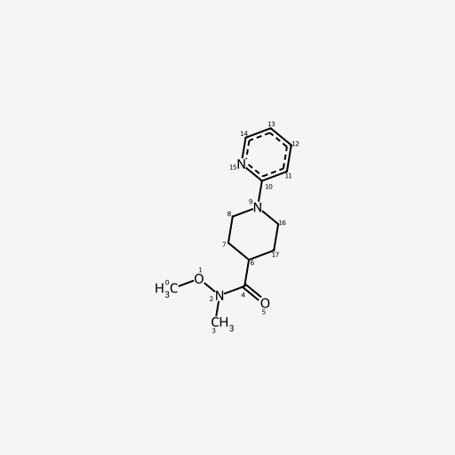 CON(C)C(=O)C1CCN(c2ccccn2)CC1